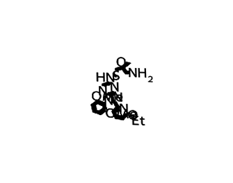 CCOc1cccc(-c2nc3nc(NSCC4(CN)CO4)cnc3n2-c2c(OC)cccc2OC)n1